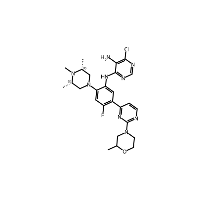 CC1CN(c2nccc(-c3cc(Nc4ncnc(Cl)c4N)c(N4C[C@@H](C)N(C)[C@@H](C)C4)cc3F)n2)CCO1